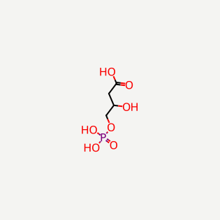 O=C(O)CC(O)COP(=O)(O)O